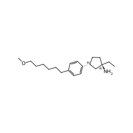 CC[C@@]1(N)CC[C@@H](c2ccc(CCCCCCOC)cc2)C1